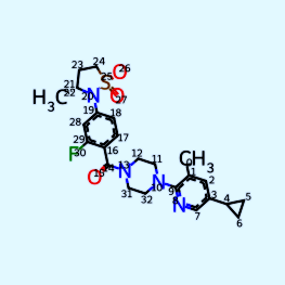 Cc1cc(C2CC2)cnc1N1CCN(C(=O)c2ccc(N3[C@H](C)CCS3(=O)=O)cc2F)CC1